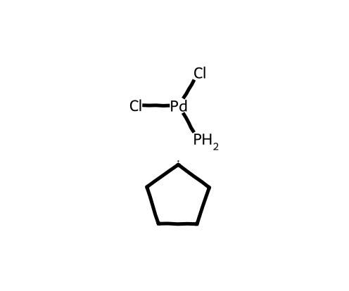 [CH]1CCCC1.[PH2][Pd]([Cl])[Cl]